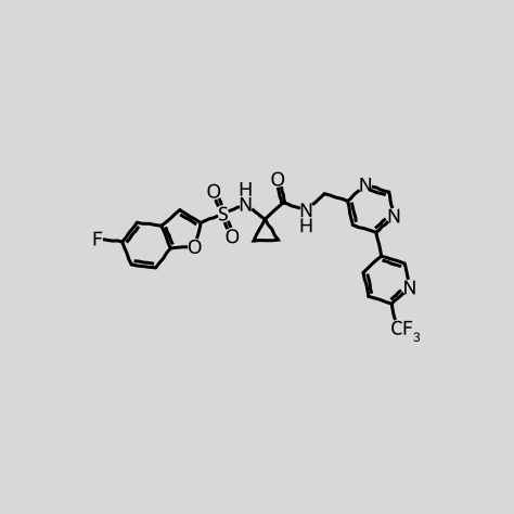 O=C(NCc1cc(-c2ccc(C(F)(F)F)nc2)ncn1)C1(NS(=O)(=O)c2cc3cc(F)ccc3o2)CC1